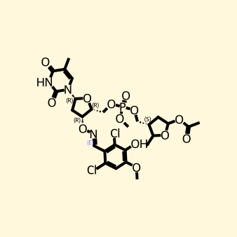 COc1cc(Cl)c(/C=N/O[C@@H]2C[C@H](n3cc(C)c(=O)[nH]c3=O)O[C@@H]2COP(=O)(OC)OC[C@@H]2CC(OC(C)=O)OC2C)c(Cl)c1O